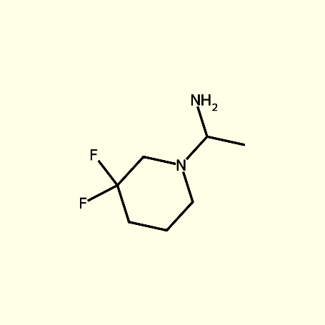 CC(N)N1CCCC(F)(F)C1